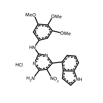 COc1cc(Nc2nc(N)c([N+](=O)[O-])c(-c3cccc4[nH]ccc34)n2)cc(OC)c1OC.Cl